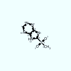 CS(=O)(=O)c1nc2nncnc2[nH]1